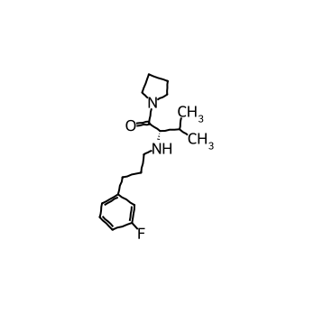 CC(C)[C@H](NCCCc1cccc(F)c1)C(=O)N1CCCC1